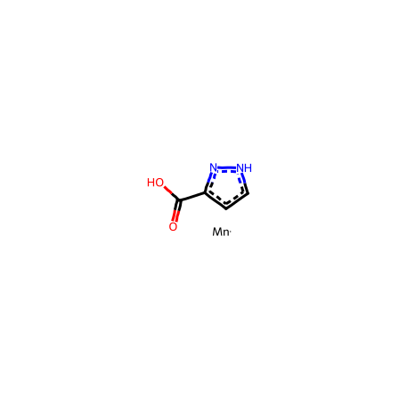 O=C(O)c1cc[nH]n1.[Mn]